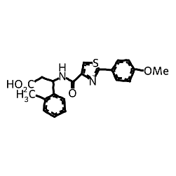 COc1ccc(-c2nc(C(=O)NC(CC(=O)O)c3ccccc3C)cs2)cc1